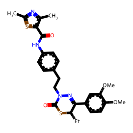 CCC1SC(=O)N(CCc2ccc(NC(=O)c3sc(C)nc3C)cc2)N=C1c1ccc(OC)c(OC)c1